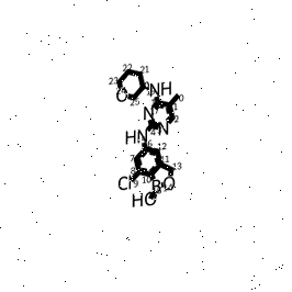 Cc1cnc(Nc2cc(Cl)c3c(c2)COB3O)nc1N[C@H]1CCCOC1